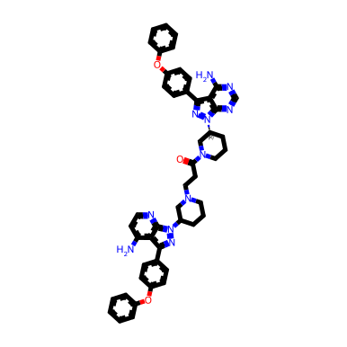 Nc1ccnc2c1c(-c1ccc(Oc3ccccc3)cc1)nn2C1CCCN(CCC(=O)N2CCC[C@@H](n3nc(-c4ccc(Oc5ccccc5)cc4)c4c(N)ncnc43)C2)C1